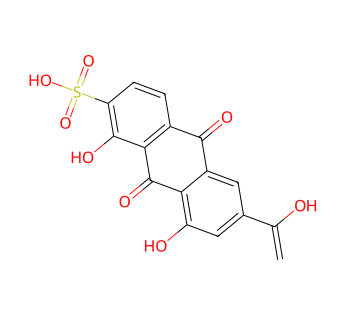 C=C(O)c1cc(O)c2c(c1)C(=O)c1ccc(S(=O)(=O)O)c(O)c1C2=O